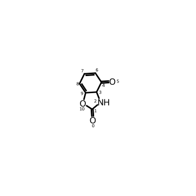 O=C1NC2C(=O)C=CC=C2O1